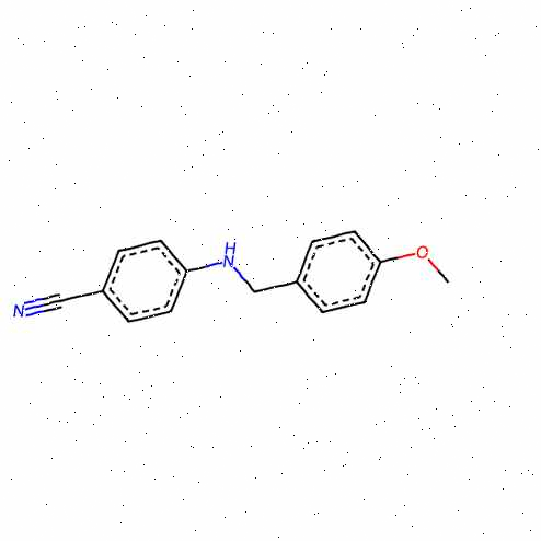 COc1ccc(CNc2ccc(C#N)cc2)cc1